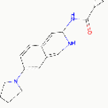 O=C(NC1C=c2ccc(N3CCCC3)cc2=CN1)C1CC1